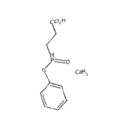 O=C(O)CC[PH](=O)Oc1ccccc1.[CaH2]